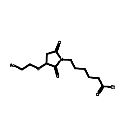 CCC(=O)CCCCCN1C(=O)CC(SCCC(C)=O)C1=O